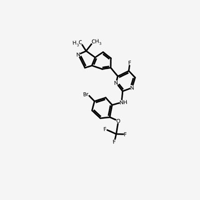 CC1(C)N=Cc2cc(-c3nc(Nc4cc(Br)ccc4OC(F)(F)F)ncc3F)ccc21